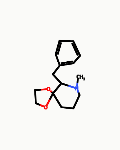 CN1CCCC2(OCCO2)C1Cc1ccccc1